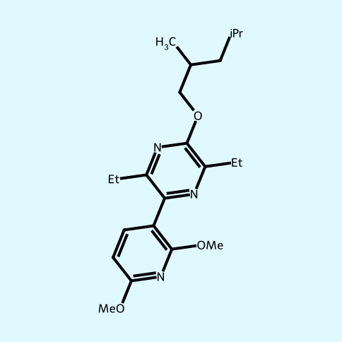 CCc1nc(-c2ccc(OC)nc2OC)c(CC)nc1OCC(C)CC(C)C